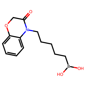 O=C1COc2ccccc2N1CCCCCB(O)O